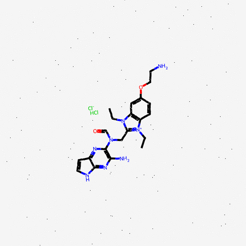 CCn1c(CN(C=O)c2nc3cc[nH]c3nc2N)[n+](CC)c2ccc(OCCN)cc21.Cl.[Cl-]